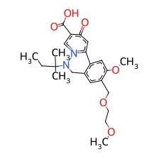 CCC(C)(C)N1Cc2cc(COCCOC)c(OC)cc2-c2cc(=O)c(C(=O)O)cn21